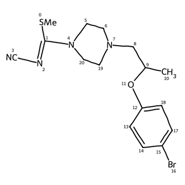 CS/C(=N\C#N)N1CCN(CC(C)Oc2ccc(Br)cc2)CC1